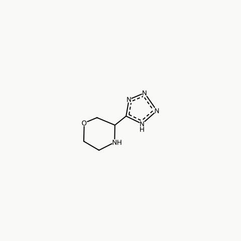 C1COCC(c2nnn[nH]2)N1